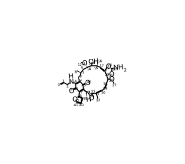 C=CCNC1=C2C[C@@H](C)C[C@H](OC)[C@H](O)[C@@H](C)C=C(C)[C@H](OC(N)=O)[C@@H](OC)C=CC=C(C)C(=O)NC(=C(c3ccco3)C1=O)C2=O